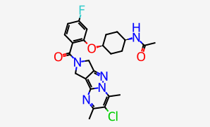 CC(=O)N[C@H]1CC[C@@H](Oc2cc(F)ccc2C(=O)N2Cc3nn4c(C)c(Cl)c(C)nc4c3C2)CC1